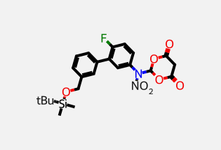 CC(C)(C)[Si](C)(C)OCc1cccc(-c2cc(N(C3OC(=O)CC(=O)O3)[N+](=O)[O-])ccc2F)c1